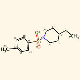 CCC1CCN(S(=O)(=O)c2ccc(C)cc2)CC1